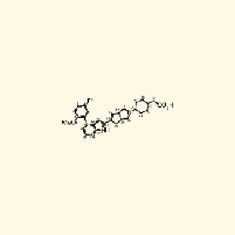 COc1ccc(F)cc1-c1ccnc2[nH]c(C3=CC4CN(C5CCC(CC(=O)O)CC5)CC4C3)cc12